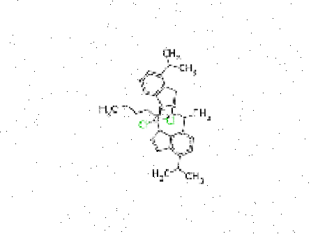 CCC[CH2][Zr]([Cl])([Cl])([CH]1C=Cc2c(C(C)C)cccc21)[CH]1C=Cc2c(C(C)C)ccc(C(C)C)c21